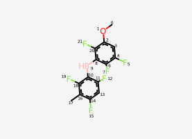 COc1cc(F)c(F)c(Bc2c(F)cc(F)c(C)c2F)c1F